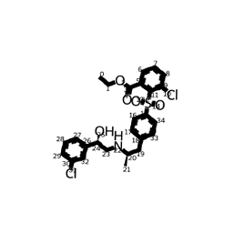 CCOC(=O)c1cccc(Cl)c1S(=O)(=O)c1ccc(C[C@@H](C)NC[C@@H](O)c2cccc(Cl)c2)cc1